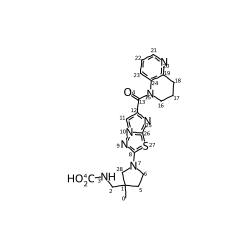 CC1(CNC(=O)O)CCN(c2nn3cc(C(=O)N4CCCc5ncccc54)nc3s2)C1